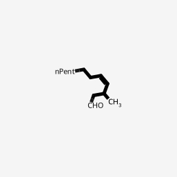 CCCCCCC/C=C\C(C)CC=O